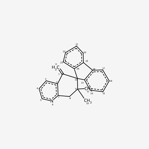 C=C1c2cccnc2CC(C)(C)C12c1ccccc1-c1ccccc12